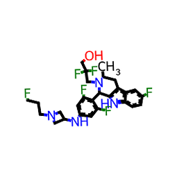 CC1Cc2c([nH]c3ccc(F)cc23)C(c2c(F)cc(NC3CN(CCCF)C3)cc2F)N1CC(F)(F)CO